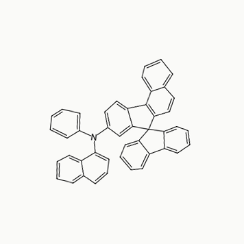 c1ccc(N(c2ccc3c(c2)C2(c4ccccc4-c4ccccc42)c2ccc4ccccc4c2-3)c2cccc3ccccc23)cc1